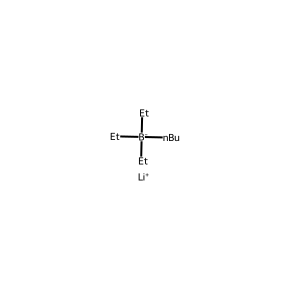 CCCC[B-](CC)(CC)CC.[Li+]